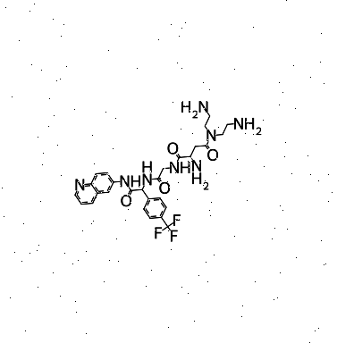 NCCN(CCN)C(=O)C[C@H](N)C(=O)NCC(=O)NC(C(=O)Nc1ccc2ncccc2c1)c1ccc(C(F)(F)F)cc1